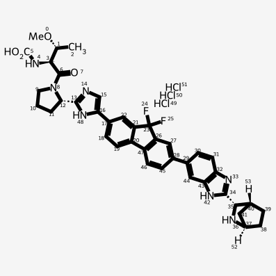 CO[C@H](C)[C@H](NC(=O)O)C(=O)N1CCC[C@H]1c1ncc(-c2ccc3c(c2)C(F)(F)c2cc(-c4ccc5nc([C@H]6N[C@@H]7CC[C@@H]6C7)[nH]c5c4)ccc2-3)[nH]1.Cl.Cl.Cl